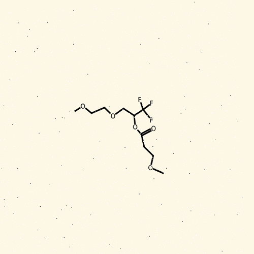 COCCOCC(OC(=O)CCOC)C(F)(F)F